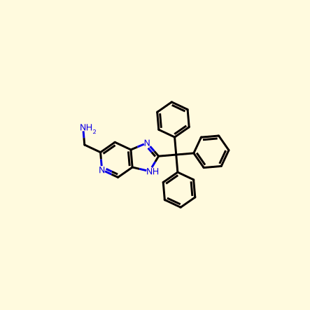 NCc1cc2nc(C(c3ccccc3)(c3ccccc3)c3ccccc3)[nH]c2cn1